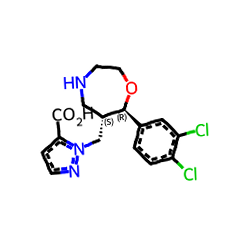 O=C(O)c1ccnn1C[C@@H]1CNCCO[C@H]1c1ccc(Cl)c(Cl)c1